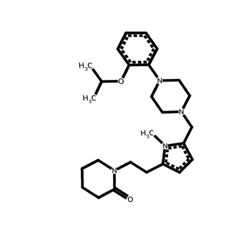 CC(C)Oc1ccccc1N1CCN(Cc2ccc(CCN3CCCCC3=O)n2C)CC1